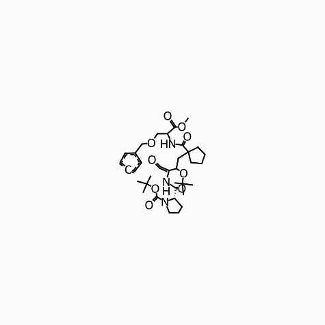 COC(=O)C(COCc1ccccc1)NC(=O)C1(CC(OC(C)(C)C)C(=C=O)NC(=O)[C@@H]2CCCN2C(=O)OC(C)(C)C)CCCC1